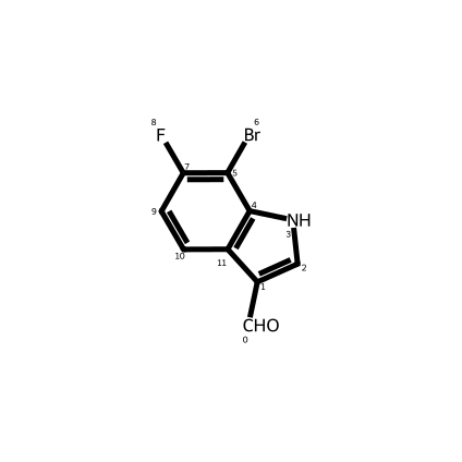 O=Cc1c[nH]c2c(Br)c(F)ccc12